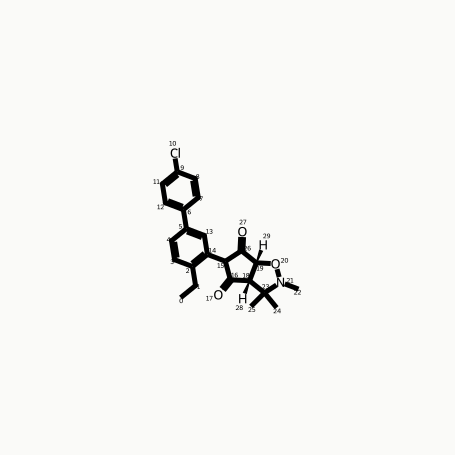 CCc1ccc(-c2ccc(Cl)cc2)cc1C1C(=O)[C@@H]2[C@@H](ON(C)C2(C)C)C1=O